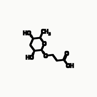 CC1O[C@@H](OCCC(=O)O)[C@@H](O)C[C@H]1O